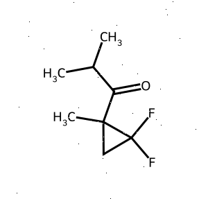 CC(C)C(=O)C1(C)CC1(F)F